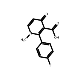 Cn1ccc(=O)c(C(=O)O)c1-c1ccc(F)cc1